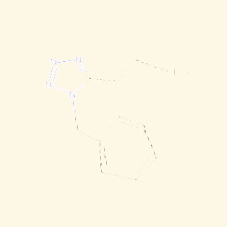 O=CCCc1nnnn1Cc1ccccc1